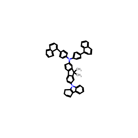 CC1(C)c2cc(N(c3ccc(-c4cccc5ccccc45)cc3)c3ccc(-c4cccc5ccccc45)cc3)ccc2-c2ccc(-n3c4c(c5ccccc53)C=CCC4)cc21